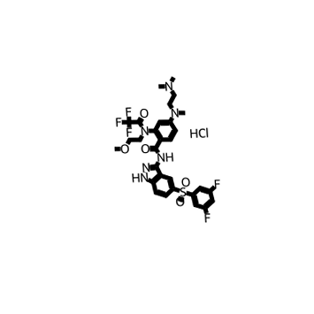 COCCN(C(=O)C(F)(F)F)c1cc(N(C)CCN(C)C)ccc1C(=O)Nc1n[nH]c2ccc(S(=O)(=O)c3cc(F)cc(F)c3)cc12.Cl